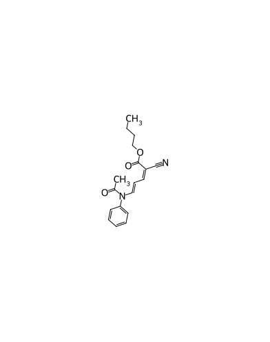 CCCCOC(=O)C(C#N)=CC=CN(C(C)=O)c1ccccc1